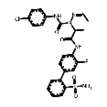 C/C=N\N(C(=O)Nc1ccc(Cl)cc1)C(C)C(=O)Nc1ccc(-c2ccccc2S(N)(=O)=O)cc1F